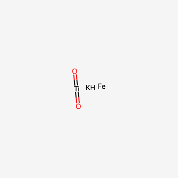 [Fe].[KH].[O]=[Ti]=[O]